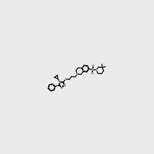 CC1(C)CCCN(S(=O)(=O)c2ccc3c(c2)CN(CCCSc2nnc(-c4ccccc4)n2C2CC2)CC3)C1